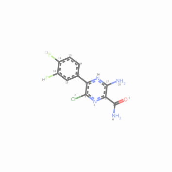 NC(=O)c1nc(Cl)c(-c2ccc(F)c(F)c2)nc1N